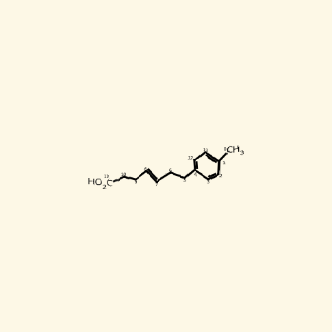 Cc1ccc(CCC=CCCC(=O)O)cc1